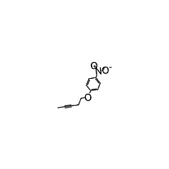 CC#CCCOc1ccc([N+](=O)[O-])cc1